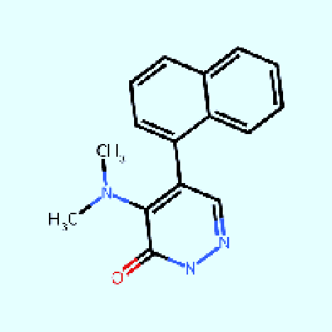 CN(C)C1=C(c2cccc3ccccc23)C=N[N]C1=O